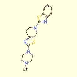 CCN1CCN(c2nc3c(s2)CN(c2nc4ccccc4s2)CC3)CC1